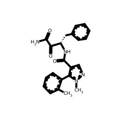 Cc1ccccc1-c1c(C(=O)N[C@@H](Cc2ccccc2)C(=O)C(N)=O)cnn1C